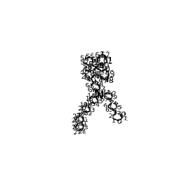 c1ccc(-c2ccc(-c3cccc(N(c4ccc(-c5ccc(-c6ccc7ccccc7c6)cc5)cc4)c4ccc(-c5cccc6c5-c5ccccc5C6(c5ccccc5)c5ccccc5)cc4)c3)cc2)cc1